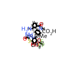 COc1ccc(C)c2sc(C(N)=O)nc12.NCc1cccc(C(=O)N(CC(=O)O)c2ccccc2)c1.O=C(O)C(F)(F)F